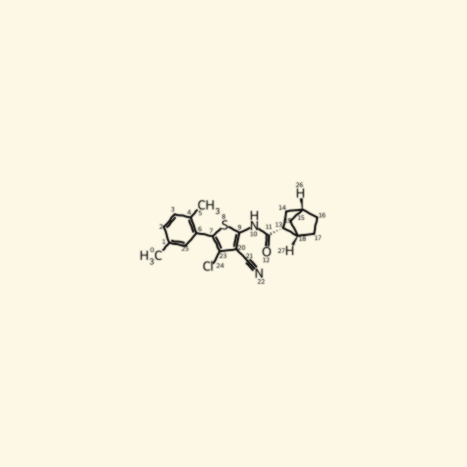 Cc1ccc(C)c(-c2sc(NC(=O)[C@@H]3C[C@@H]4CC[C@H]3C4)c(C#N)c2Cl)c1